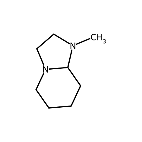 CN1CCN2CCCCC12